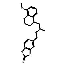 COc1cccc2c1CCCC2CN(C)CCc1ccc2oc(=O)oc2c1